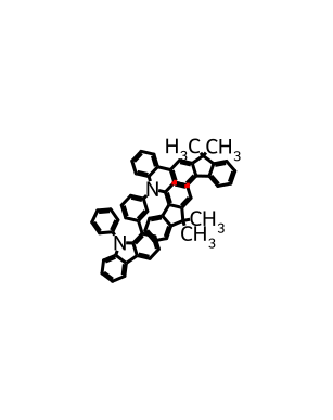 CC1(C)c2ccccc2-c2ccc(-c3ccccc3N(c3cccc(-c4cccc5c6ccccc6n(-c6ccccc6)c45)c3)c3cccc4c3-c3ccccc3C4(C)C)cc21